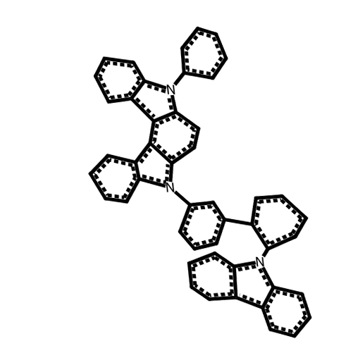 c1ccc(-n2c3ccccc3c3c4c5ccccc5n(-c5cccc(-c6ccccc6-n6c7ccccc7c7ccccc76)c5)c4ccc32)cc1